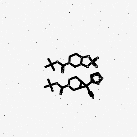 CC(C)(C)OC(=O)N1CCC2C(C1)C2(C#N)c1ccon1.CC(C)(C)OC(=O)N1CCC2OS(=O)(=O)OC2C1